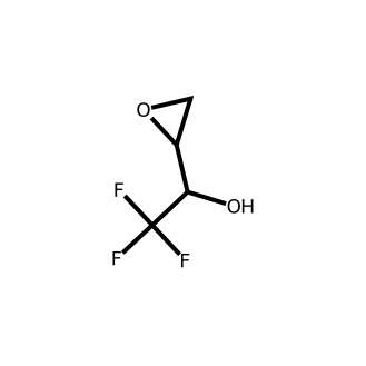 OC(C1CO1)C(F)(F)F